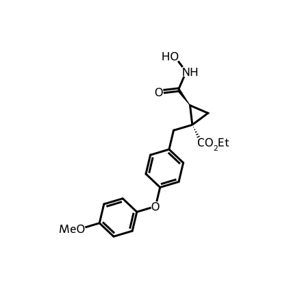 CCOC(=O)[C@@]1(Cc2ccc(Oc3ccc(OC)cc3)cc2)C[C@@H]1C(=O)NO